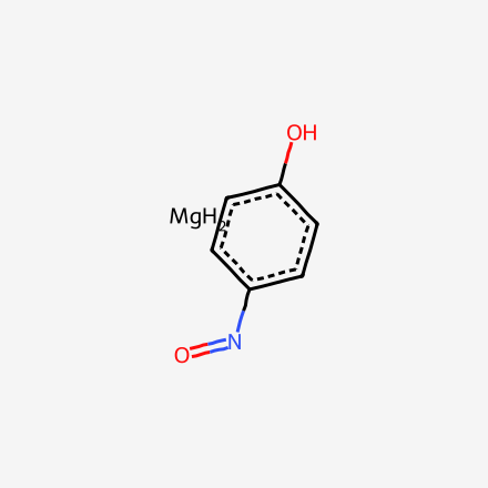 O=Nc1ccc(O)cc1.[MgH2]